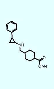 COC(=O)C1CCC(CNC2CC2c2ccccc2)CC1